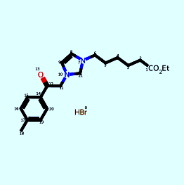 Br.CCOC(=O)CCCCCN1C=CN(CC(=O)c2ccc(C)cc2)C1